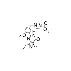 CCCc1nn(C)c2c(=O)[nH]c(-c3cc(CN4CCN(C(=O)OC(C)(C)C)CC4)ccc3OCC)nc12